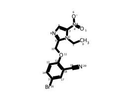 CCn1c([N+](=O)[O-])cnc1COc1ccc(Br)cc1C#N